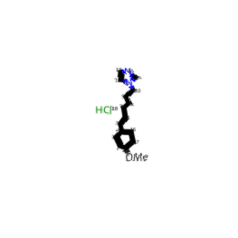 COc1ccc(C=CCCCCn2ccnc2)cc1.Cl